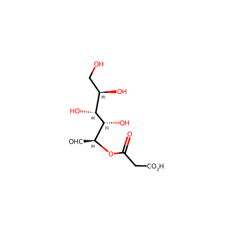 O=C[C@H](OC(=O)CC(=O)O)[C@@H](O)[C@H](O)[C@H](O)CO